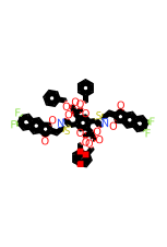 O=C1C(=Cc2nc3c(s2)-c2cc4c(cc2C(C(=O)OCc2ccccc2)(C(=O)OCc2ccccc2)O3)-c2sc(C=C3C(=O)c5cc6cc(F)c(F)cc6cc5C3=O)nc2OC4(C(=O)OCc2ccccc2)C(=O)OCc2ccccc2)C(=O)c2cc3cc(F)c(F)cc3cc21